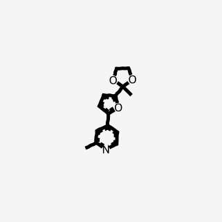 Cc1cc(-c2ccc(C3(C)OCCO3)o2)ccn1